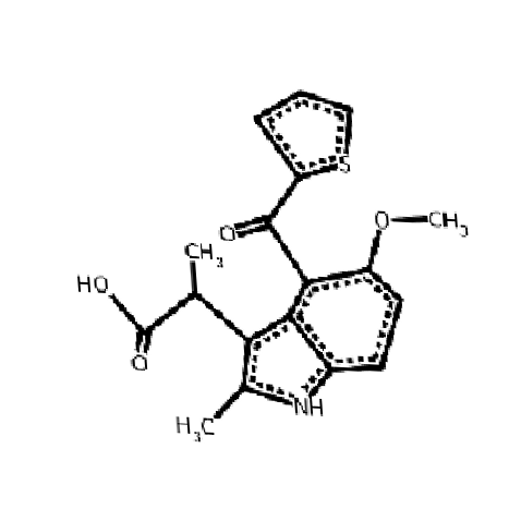 COc1ccc2[nH]c(C)c(C(C)C(=O)O)c2c1C(=O)c1cccs1